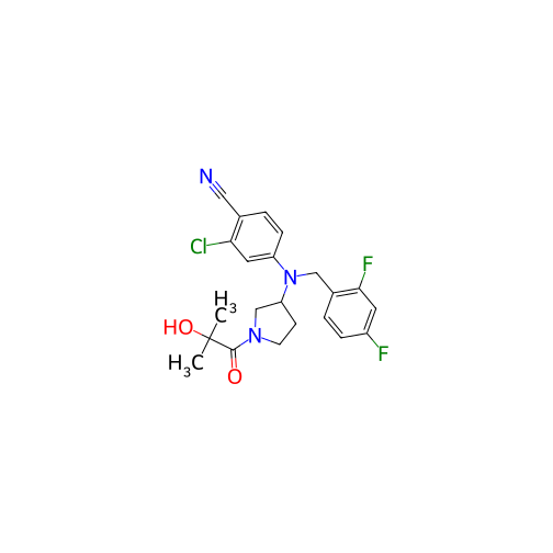 CC(C)(O)C(=O)N1CCC(N(Cc2ccc(F)cc2F)c2ccc(C#N)c(Cl)c2)C1